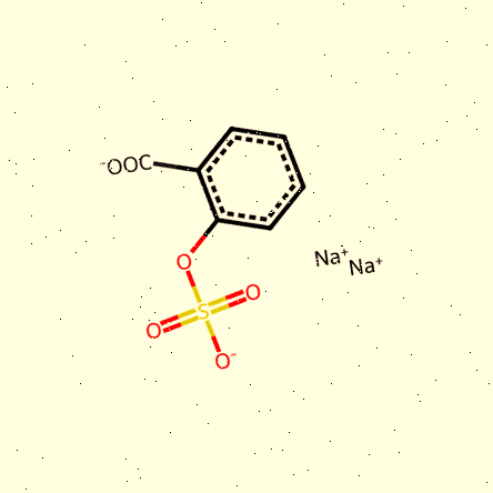 O=C([O-])c1ccccc1OS(=O)(=O)[O-].[Na+].[Na+]